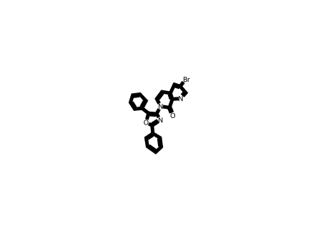 O=c1c2ncc(Br)cc2ccn1-c1nc(-c2ccccc2)oc1-c1ccccc1